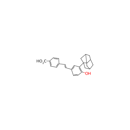 O=C(O)c1ccc(C=Cc2ccc(O)c(C34CC5CC(CC(C5)C3)C4)c2)cc1